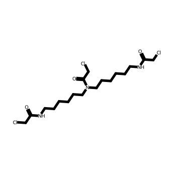 O=C(CCl)NCCCCCCN(CCCCCCNC(=O)CCl)C(=O)CCl